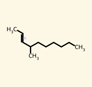 C/C=C/C(C)CCCCCC